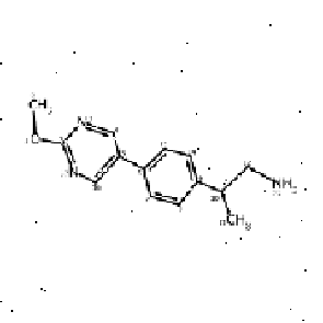 COc1ncc(-c2ccc(C(C)CN)cc2)cn1